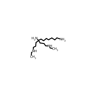 CCNCCCC(N)(CCCCCCCN)CCCNCC